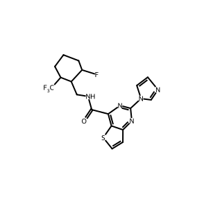 O=C(NCC1C(F)CCCC1C(F)(F)F)c1nc(-n2ccnc2)nc2ccsc12